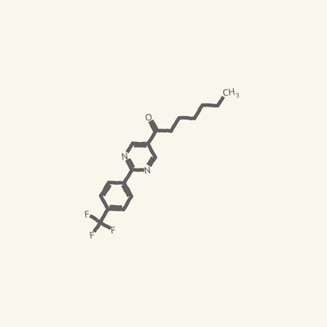 CCCCCCC(=O)c1cnc(-c2ccc(C(F)(F)F)cc2)nc1